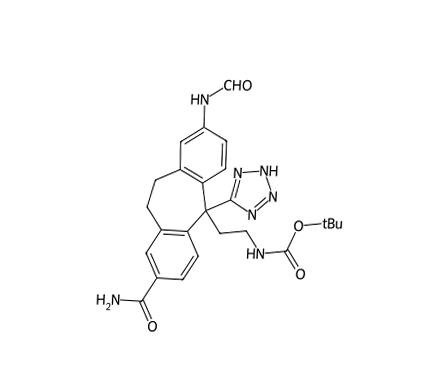 CC(C)(C)OC(=O)NCCC1(c2nn[nH]n2)c2ccc(NC=O)cc2CCc2cc(C(N)=O)ccc21